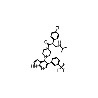 CC(C)NC[C@@H](C(=O)N1CCN(c2c(-c3cccc(C(F)(F)F)c3)cnc3[nH]ccc23)CC1)c1ccc(Cl)cc1